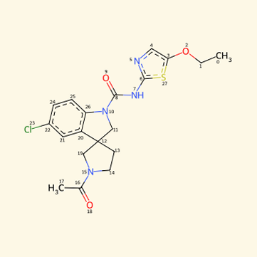 CCOc1cnc(NC(=O)N2CC3(CCN(C(C)=O)C3)c3cc(Cl)ccc32)s1